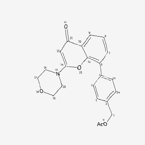 CC(=O)OCc1ccc(-c2cccc3c(=O)cc(N4CCOCC4)oc23)cc1